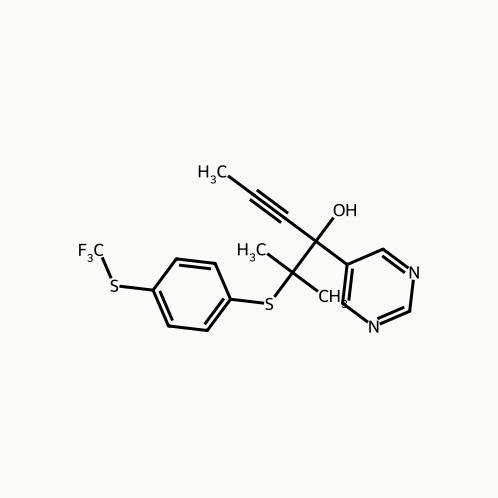 CC#CC(O)(c1cncnc1)C(C)(C)Sc1ccc(SC(F)(F)F)cc1